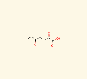 CCC(=O)CCC(=O)C(=O)O